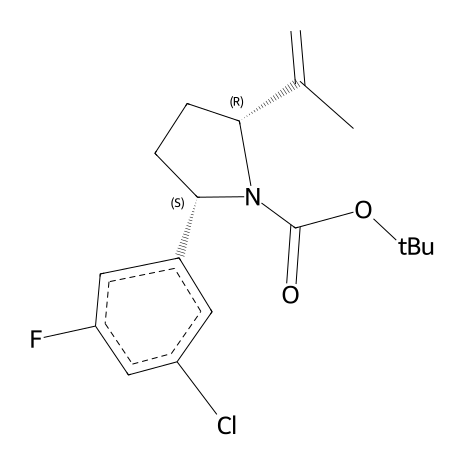 C=C(C)[C@H]1CC[C@@H](c2cc(F)cc(Cl)c2)N1C(=O)OC(C)(C)C